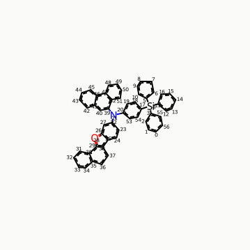 c1ccc([Si](c2ccccc2)(c2ccccc2)c2ccc(N(c3ccc4c(c3)oc3c5ccccc5ccc43)c3cc4ccccc4c4ccccc34)cc2)cc1